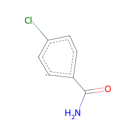 NC(=O)c1[c]cc(Cl)cc1